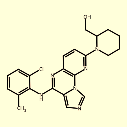 Cc1cccc(Cl)c1Nc1nc2ccc(N3CCCCC3CO)nc2n2cncc12